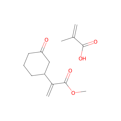 C=C(C(=O)OC)C1CCCC(=O)C1.C=C(C)C(=O)O